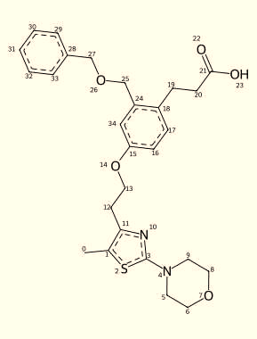 Cc1sc(N2CCOCC2)nc1CCOc1ccc(CCC(=O)O)c(COCc2ccccc2)c1